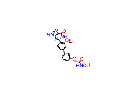 CCOc1cc(-c2cccc(OCC(=O)NO)c2)ccc1-c1nc2[nH]cnc2c(=O)[nH]1